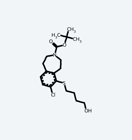 CC(C)(C)OC(=O)N1CCc2ccc(Cl)c(SCCCCO)c2CC1